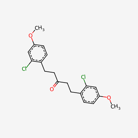 COc1ccc(CCC(=O)CCc2ccc(OC)cc2Cl)c(Cl)c1